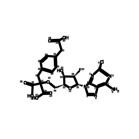 Nc1nc(Cl)nc2c1ncn2[C@@H]1O[C@H](COC(Cc2ccc(CC(=O)O)cc2)(C(=O)O)C(=O)O)[C@@H](O)[C@@H]1F